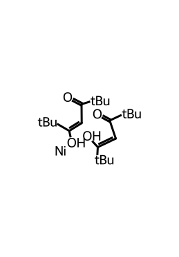 CC(C)(C)C(=O)/C=C(/O)C(C)(C)C.CC(C)(C)C(=O)/C=C(\O)C(C)(C)C.[Ni]